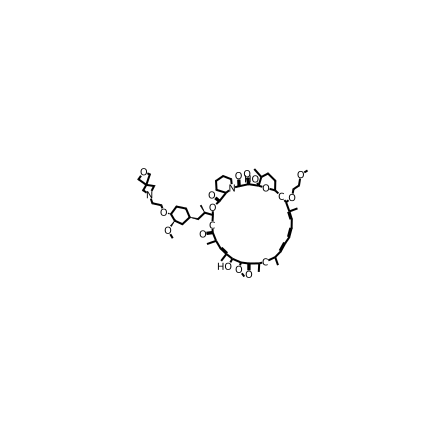 COCCOC1CC2CCC(C)C(O)(O2)C(=O)C(=O)N2CCCCC2C(=O)OC([C@H](C)C[C@@H]2CC[C@@H](OCCN3CC4(COC4)C3)[C@H](OC)C2)CC(=O)C(C)C=C(C)C(O)C(OC)C(=O)C(C)CC(C)C=CC=CC=C1C